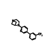 FC(F)(F)c1cccc(-c2ccc(N3CCN4CC3C4)nc2)c1